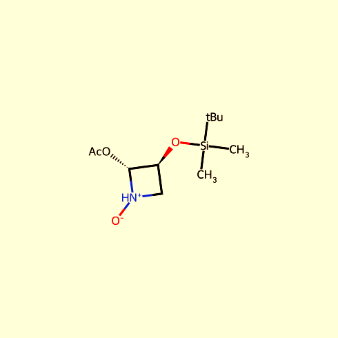 CC(=O)O[C@@H]1[C@@H](O[Si](C)(C)C(C)(C)C)C[NH+]1[O-]